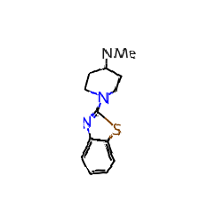 CNC1CCN(c2nc3ccccc3s2)CC1